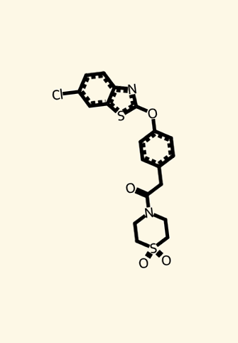 O=C(Cc1ccc(Oc2nc3ccc(Cl)cc3s2)cc1)N1CCS(=O)(=O)CC1